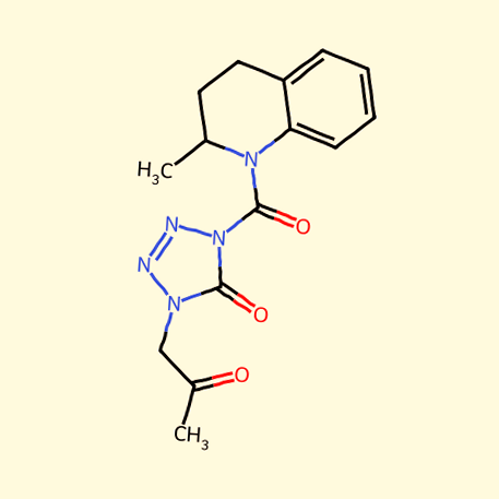 CC(=O)Cn1nnn(C(=O)N2c3ccccc3CCC2C)c1=O